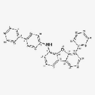 c1ccc(-c2ccc(Nc3cccc4c3oc3c(-c5ccccc5)cccc34)cc2)cc1